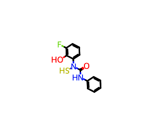 O=C(Nc1ccccc1)N(S)c1cccc(F)c1O